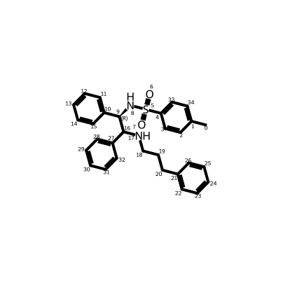 Cc1ccc(S(=O)(=O)N[C@H](c2ccccc2)C(NCCCc2ccccc2)c2ccccc2)cc1